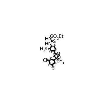 CCOC(=O)NC(=S)Nc1ccc(C2=NOC(c3cc(Cl)cc(Cl)c3)(C(F)(F)F)C2)cc1C